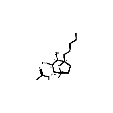 CCCOC[C@@]12CC[C@@H](O1)[C@H](NC(C)=O)[C@@H](O)[C@H]2O